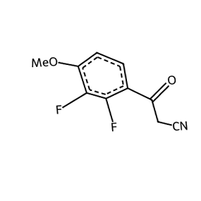 COc1ccc(C(=O)CC#N)c(F)c1F